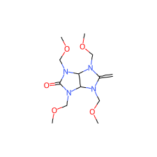 C=C1N(COC)C2C(N1COC)N(COC)C(=O)N2COC